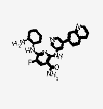 NC(=O)c1cc(F)c(N[C@@H]2CCCC[C@@H]2N)nc1Nc1cncc(-c2ccc3cccnc3c2)c1